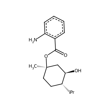 CC(C)[C@@H]1CC[C@@](C)(OC(=O)c2ccccc2N)C[C@H]1O